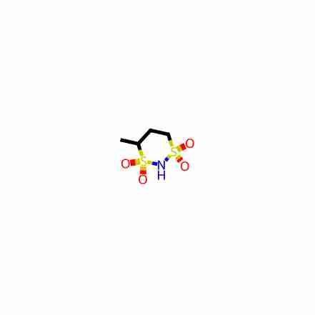 CC1CCS(=O)(=O)NS1(=O)=O